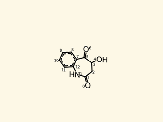 O=C1CC(O)C(=O)c2ccccc2N1